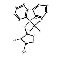 CC(C)(C)[Si](OC1CCC(O)C1F)(c1ccccc1)c1ccccc1